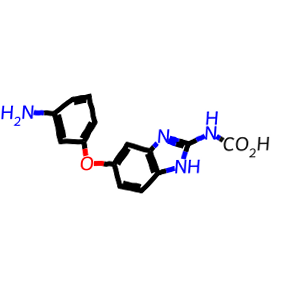 Nc1cccc(Oc2ccc3[nH]c(NC(=O)O)nc3c2)c1